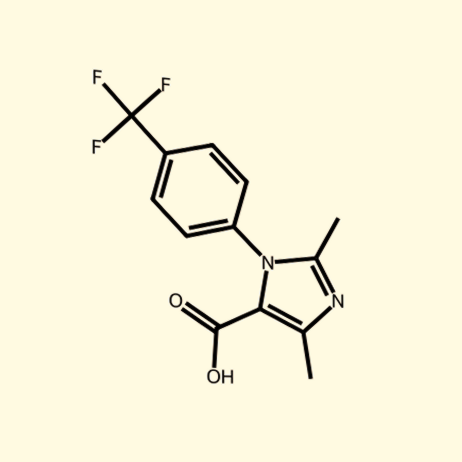 Cc1nc(C)n(-c2ccc(C(F)(F)F)cc2)c1C(=O)O